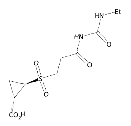 CCNC(=O)NC(=O)CCS(=O)(=O)[C@@H]1C[C@H]1C(=O)O